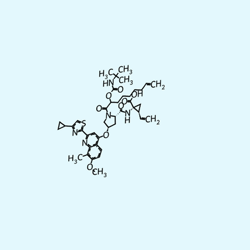 C=CCCCCCC(OC(=O)NC(C)(C)C)C(=O)N1C[C@H](Oc2cc(-c3nc(C4CC4)cs3)nc3c(C)c(OC)ccc23)C[C@H]1C(=O)N[C@]1(C(=O)O)C[C@H]1C=C